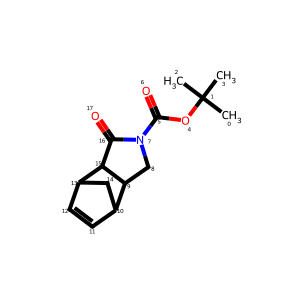 CC(C)(C)OC(=O)N1CC2C3C=CC(C3)C2C1=O